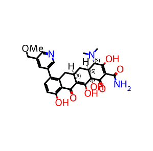 COCc1cncc(-c2ccc(O)c3c2C[C@H]2C[C@H]4[C@H](N(C)C)C(O)=C(C(N)=O)C(=O)[C@@]4(O)C(O)=C2C3=O)c1